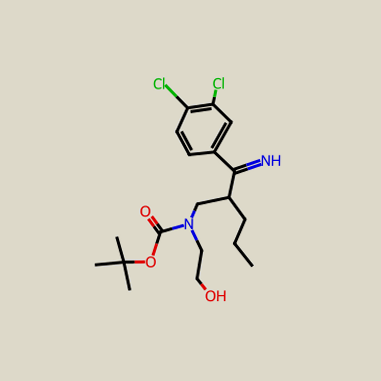 CCCC(CN(CCO)C(=O)OC(C)(C)C)C(=N)c1ccc(Cl)c(Cl)c1